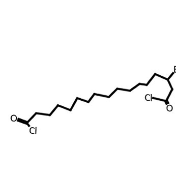 CCC(CCCCCCCCCCCCCC(=O)Cl)CC(=O)Cl